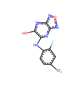 Oc1nc2nonc2nc1Nc1ccc(C(F)(F)F)cc1F